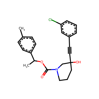 Cc1ccc(C(C)OC(=O)N2CCCC(O)(C#Cc3cccc(Cl)c3)C2)cc1